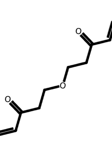 C=CC(=O)CCOCCC(=O)C=C